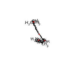 CC(Cn1cnc2c(N)ncnc21)OCP(=O)(O)OCCCCCCCCCCCCCCCCCC[Si](C)(C)C